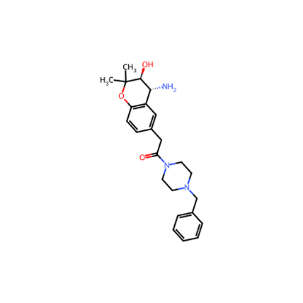 CC1(C)Oc2ccc(CC(=O)N3CCN(Cc4ccccc4)CC3)cc2[C@@H](N)[C@@H]1O